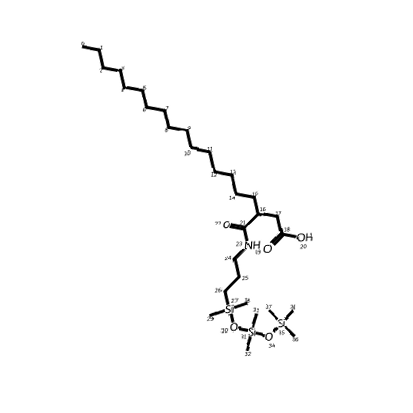 CCCCCCCCCCCCCCCCC(CC(=O)O)C(=O)NCCC[Si](C)(C)O[Si](C)(C)O[Si](C)(C)C